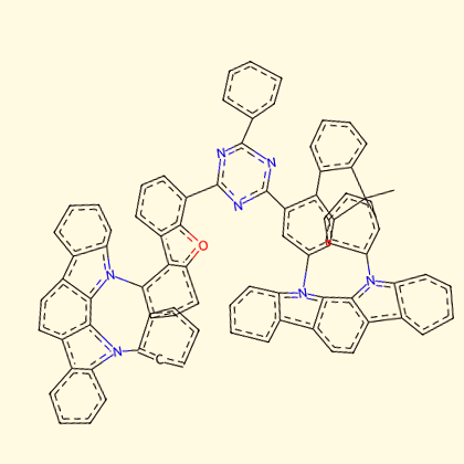 CC1(C)c2ccccc2-c2c(-c3nc(-c4ccccc4)nc(-c4cccc5c4oc4cccc(-n6c7ccccc7c7ccc8c9ccccc9n(-c9ccccc9)c8c76)c45)n3)cc(-n3c4ccccc4c4ccc5c6ccccc6n(-c6ccccc6)c5c43)cc21